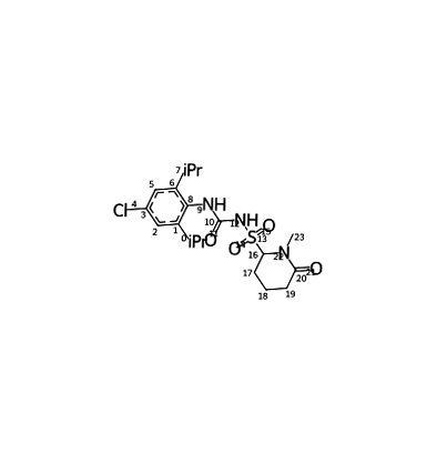 CC(C)c1cc(Cl)cc(C(C)C)c1NC(=O)NS(=O)(=O)C1CCCC(=O)N1C